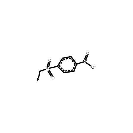 O=[N+]([O-])c1ccc(S(=O)(=O)CF)cc1